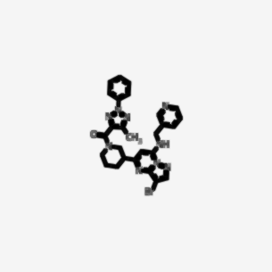 Cc1nn(-c2ccccc2)nc1C(=O)N1CCCC(c2cc(NCc3cccnc3)n3ncc(Br)c3n2)C1